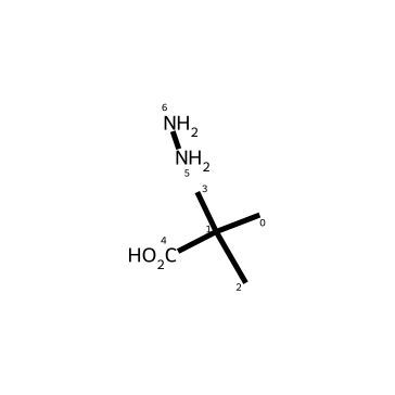 CC(C)(C)C(=O)O.NN